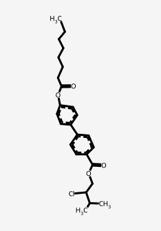 CCCCCCCC(=O)Oc1ccc(-c2ccc(C(=O)OCC(Cl)C(C)C)cc2)cc1